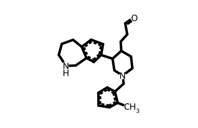 Cc1ccccc1CN1CCC(CCC=O)C(c2ccc3c(c2)CNCCC3)C1